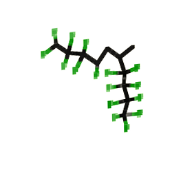 CC(CC(F)C(F)(F)C(F)(F)C(F)F)C(F)(F)C(F)(F)C(F)(F)C(F)(F)F